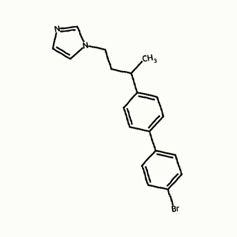 CC(CCn1ccnc1)c1ccc(-c2ccc(Br)cc2)cc1